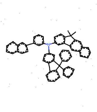 CC1(C)c2ccc(N(c3cccc(-c4ccc5ccccc5c4)c3)c3ccc4c(c3)C(c3ccccc3)(c3ccccc3)c3ccccc3-4)cc2-c2cc3ccccc3cc21